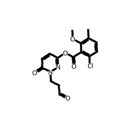 COc1c(C)ccc(Cl)c1C(=O)Oc1ccc(=O)n(CCC=O)n1